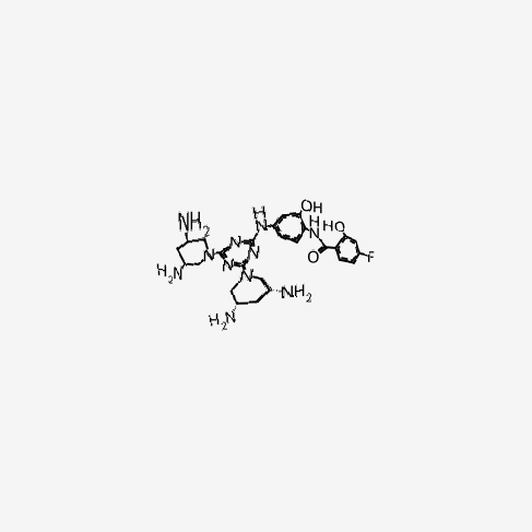 N[C@@H]1C[C@H](N)CN(c2nc(Nc3ccc(NC(=O)c4ccc(F)cc4O)c(O)c3)nc(N3C[C@H](N)C[C@H](N)C3)n2)C1